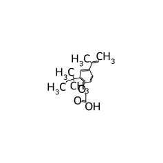 C/C=C(\C)c1ccc(OCC(=O)O)c(C(C)(C)CC)c1